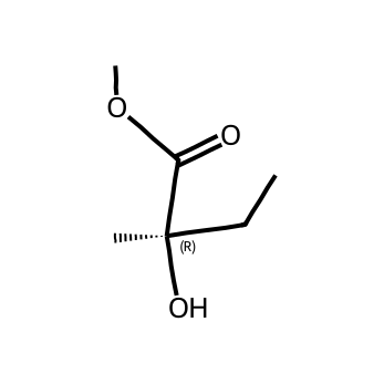 CC[C@@](C)(O)C(=O)OC